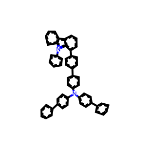 c1ccc(-c2ccc(N(c3ccc(-c4ccccc4)cc3)c3ccc(-c4ccc(-c5cccc6c7ccccc7n(-c7ccccc7)c56)cc4)cc3)cc2)cc1